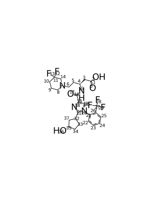 O=C(O)C[C@H](CCN1CCCC(F)(F)C1)NC(=O)c1cn(-c2ccccc2C(F)(F)F)c(C2CC[C@H](O)C2)n1